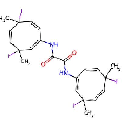 CC1(I)/C=C\C(NC(=O)C(=O)NC2=C/C(C)(I)/C=C\C(C)(I)/C=C\2)=C/C(C)(I)/C=C\1